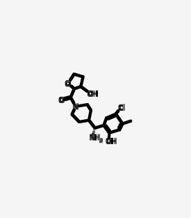 Cc1cc(O)c([C@H](N)C2CCN(C(=O)C3OCCC3O)CC2)cc1Cl